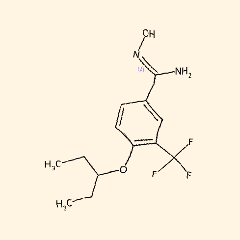 CCC(CC)Oc1ccc(/C(N)=N/O)cc1C(F)(F)F